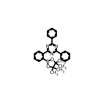 CC1(C)OB(c2ccccc2-c2nc(-c3ccccc3)nc(-c3ccccc3)n2)OC1(C)C